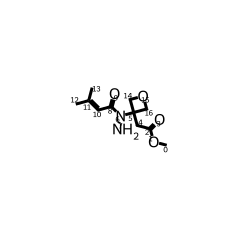 COC(=O)CC1(N(N)C(=O)C=C(C)C)COC1